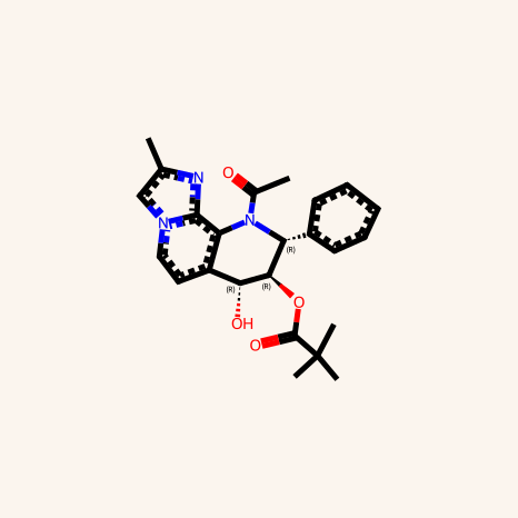 CC(=O)N1c2c(ccn3cc(C)nc23)[C@@H](O)[C@H](OC(=O)C(C)(C)C)[C@H]1c1ccccc1